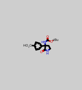 CC(C)(C)OC(=O)NC1(c2ccc(C(=O)O)cc2)CCNC1=O